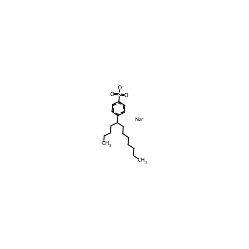 CCCCCCCC(CCCC)c1ccc(S(=O)(=O)[O-])cc1.[Na+]